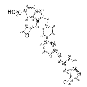 O=C(O)c1ccc2nc(CN3CCC(c4cccc(OCc5ccn6ncc(Cl)c6c5)n4)CC3)n(CC3CCO3)c2c1